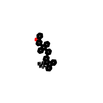 CC1(C)c2ccc(-c3cccc(-c4c5ccccc5c(-c5ccc6oc7ccccc7c6c5)c5ccccc45)c3)cc2-c2c1c1ccccc1c1ccccc21